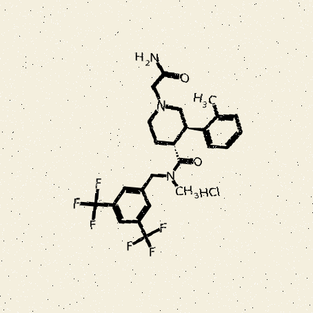 Cc1ccccc1[C@@H]1CN(CC(N)=O)CC[C@H]1C(=O)N(C)Cc1cc(C(F)(F)F)cc(C(F)(F)F)c1.Cl